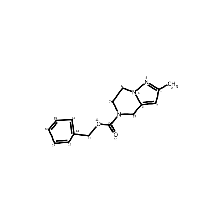 Cc1cc2n(n1)CCN(C(=O)OCc1ccccc1)C2